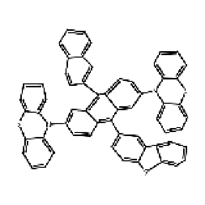 c1ccc2c(c1)Sc1ccccc1N2c1ccc2c(-c3ccc4sc5ccccc5c4c3)c3cc(N4c5ccccc5Sc5ccccc54)ccc3c(-c3ccc4ccccc4c3)c2c1